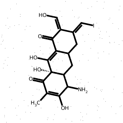 CC1=C(O)C(N)C2CC3CC(=C\I)/C(=C/O)C(=O)C3=C(O)[C@]2(O)C1=O